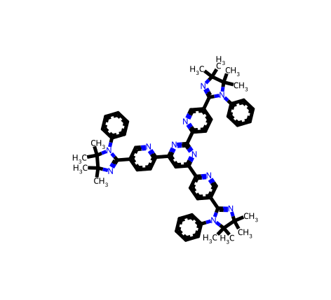 CC1(C)N=C(c2ccc(-c3cc(-c4ccc(C5=NC(C)(C)C(C)(C)N5c5ccccc5)cn4)nc(-c4ccc(C5=NC(C)(C)C(C)(C)N5c5ccccc5)cn4)n3)nc2)N(c2ccccc2)C1(C)C